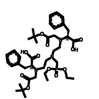 CCOP(=O)(CN(CCN(CC(=O)OC(C)(C)C)[C@@H](Cc1ccccc1)C(=O)O)CCN(CC(=O)OC(C)(C)C)[C@@H](Cc1ccccc1)C(=O)O)OCC